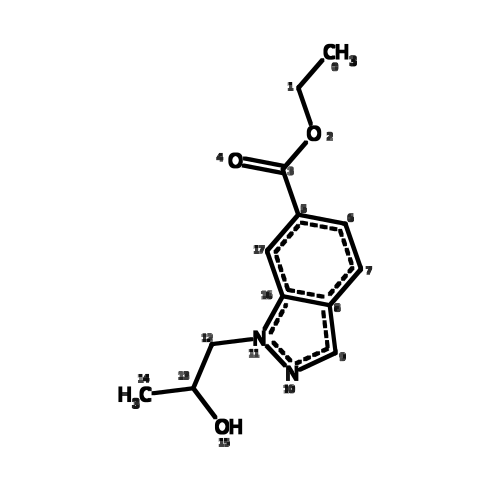 CCOC(=O)c1ccc2cnn(CC(C)O)c2c1